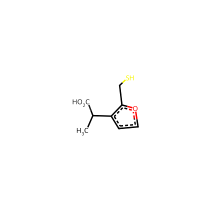 CC(C(=O)O)c1ccoc1CS